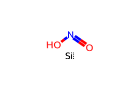 O=NO.[Si]